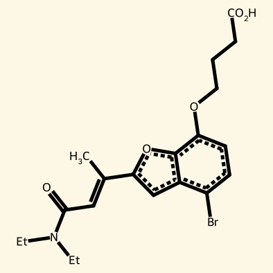 CCN(CC)C(=O)/C=C(\C)c1cc2c(Br)ccc(OCCCC(=O)O)c2o1